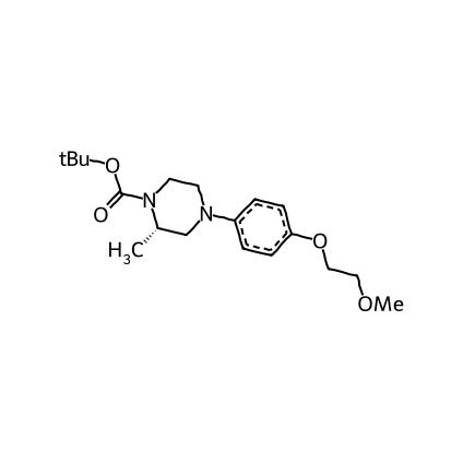 COCCOc1ccc(N2CCN(C(=O)OC(C)(C)C)[C@@H](C)C2)cc1